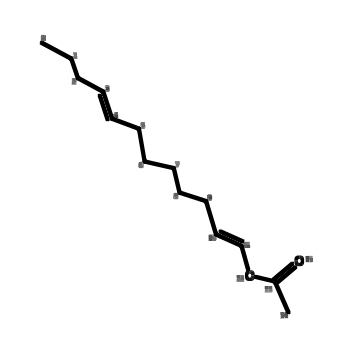 CCCC=CCCCCCC=COC(C)=O